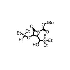 CC[Si](CC)(CC)OC1C(=O)N(C(=O)OC(C)(C)C)C1C(O)[Si](CC)(CC)CC